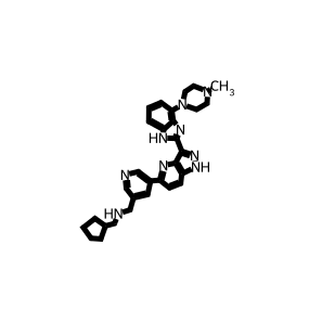 CN1CCN(c2cccc3[nH]c(-c4n[nH]c5ccc(-c6cncc(CNCC7CCCC7)c6)nc45)nc23)CC1